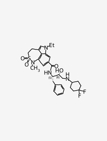 CCn1cc2c3c(cc(C(=O)N[C@@H](Cc4ccccc4)[C@H](O)CNC4CCC(F)(F)CC4)cc31)N(C)S(=O)(=O)CC2